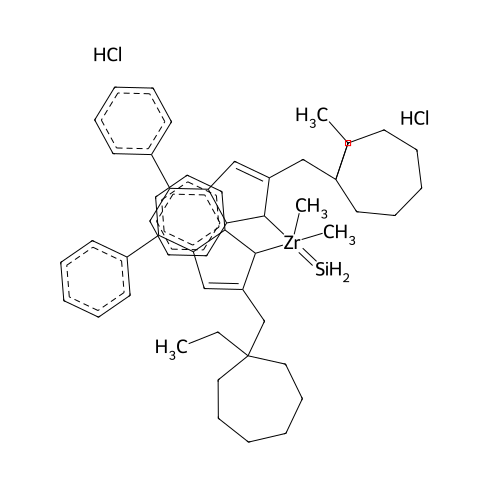 CCC1(CC2=Cc3c(-c4ccccc4)cccc3[CH]2[Zr]([CH3])([CH3])(=[SiH2])[CH]2C(CC3(CC)CCCCCC3)=Cc3c(-c4ccccc4)cccc32)CCCCCC1.Cl.Cl